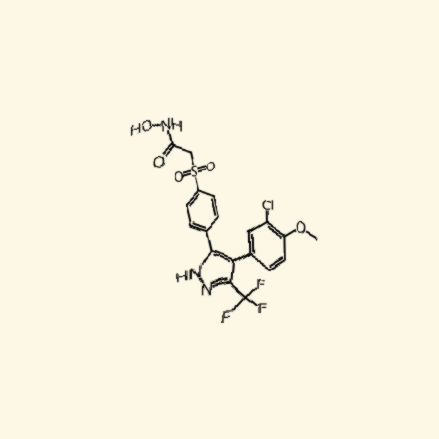 COc1ccc(-c2c(C(F)(F)F)n[nH]c2-c2ccc(S(=O)(=O)CC(=O)NO)cc2)cc1Cl